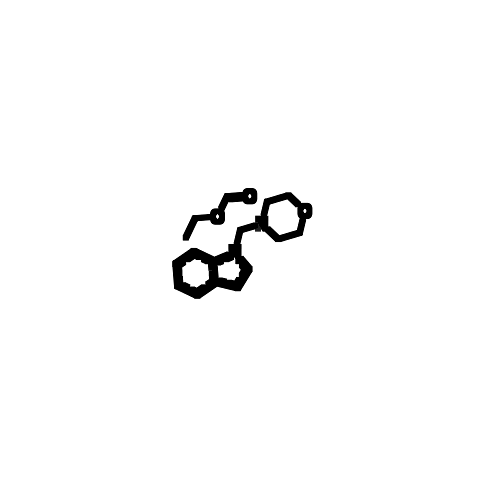 CCOC=O.c1ccc2c(c1)ccn2CN1CCOCC1